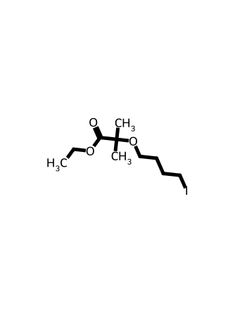 CCOC(=O)C(C)(C)OCCCCI